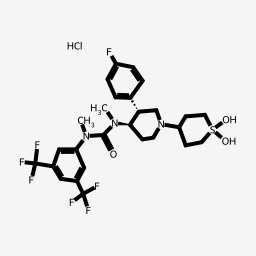 CN(C(=O)N(C)[C@@H]1CCN(C2CCS(O)(O)CC2)C[C@H]1c1ccc(F)cc1)c1cc(C(F)(F)F)cc(C(F)(F)F)c1.Cl